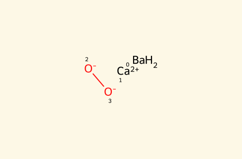 [BaH2].[Ca+2].[O-][O-]